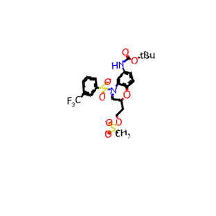 CC(C)(C)OC(=O)Nc1ccc2c(c1)N(S(=O)(=O)c1cccc(C(F)(F)F)c1)CC(CCOS(C)(=O)=O)O2